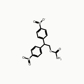 NC(=O)OCC(c1ccc([N+](=O)[O-])cc1)c1ccc([N+](=O)[O-])cc1